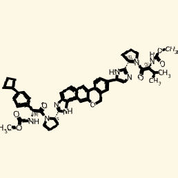 COC(=O)N[C@H](C(=O)N1CCC[C@H]1c1ncc(-c2ccc3c(c2)COc2cc4c(ccc5nc([C@@H]6CCCN6C(=O)[C@H](NC(=O)OC)c6ccc(C7CCC7)cc6)[nH]c54)cc2-3)[nH]1)C(C)C